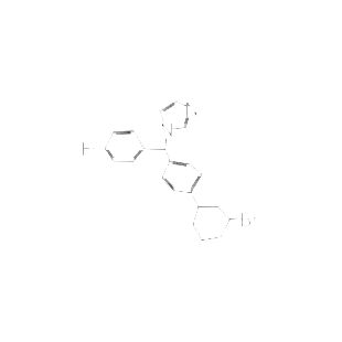 Fc1ccc(C(c2ccc(C3CCCC(Br)C3)cc2)n2ccnc2)cc1